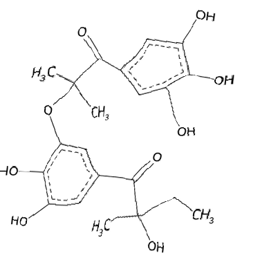 CCC(C)(O)C(=O)c1cc(O)c(O)c(OC(C)(C)C(=O)c2cc(O)c(O)c(O)c2)c1